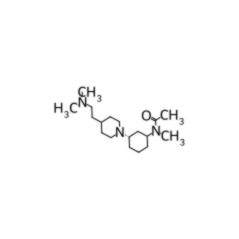 CC(=O)N(C)C1CCC[C@H](N2CCC(CCN(C)C)CC2)C1